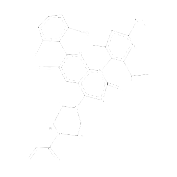 C=CC(=O)N1[C@H](C)CN(c2nc(=O)n(-c3c(C)cc(N)nc3C(C)C)c3nc(-c4c(N)cccc4F)c(F)cc23)C[C@@H]1C